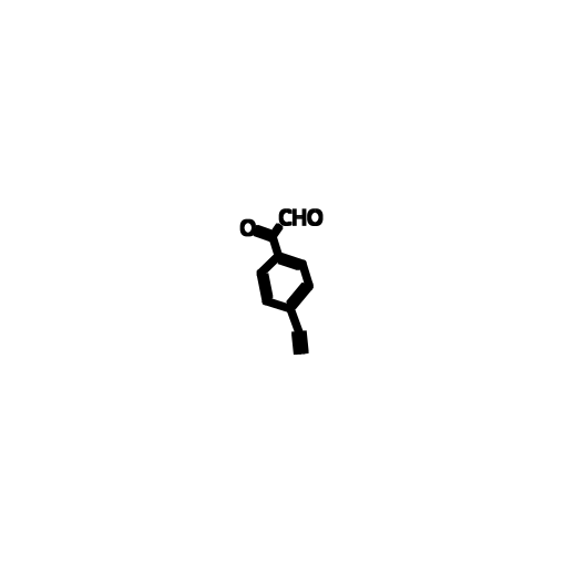 C#Cc1ccc(C(=O)C=O)cc1